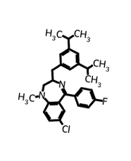 CC(C)c1cc(CC2CN(C)c3ccc(Cl)cc3C(c3ccc(F)cc3)=N2)cc(C(C)C)c1